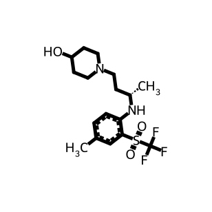 Cc1ccc(N[C@@H](C)CCN2CCC(O)CC2)c(S(=O)(=O)C(F)(F)F)c1